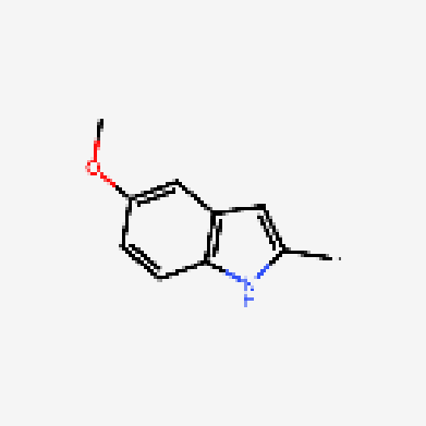 [CH2]c1cc2cc(OC)ccc2[nH]1